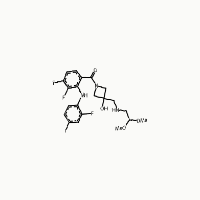 COC(CNCC1(O)CN(C(=O)c2ccc(F)c(F)c2Nc2ccc(I)cc2F)C1)OC